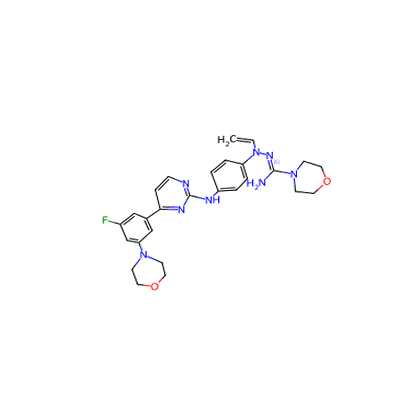 C=CN(/N=C(\N)N1CCOCC1)c1ccc(Nc2nccc(-c3cc(F)cc(N4CCOCC4)c3)n2)cc1